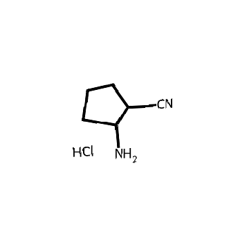 Cl.N#CC1CCCC1N